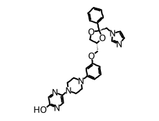 Oc1cnc(N2CCN(c3cccc(OC[C@@H]4CO[C@](Cn5ccnc5)(c5ccccc5)O4)c3)CC2)cn1